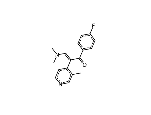 Cc1cnccc1/C(=C\N(C)C)C(=O)c1ccc(F)cc1